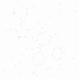 [O-][n+]1cc2cc3c(cnn3C3CCCCO3)cc2c(-c2ccc(F)c(F)c2)c1C1CCOCC1